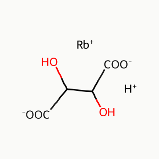 O=C([O-])C(O)C(O)C(=O)[O-].[H+].[Rb+]